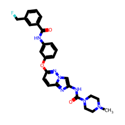 CN1CCN(C(=O)Nc2cn3nc(Oc4cccc(NC(=O)c5cccc(CF)c5)c4)ccc3n2)CC1